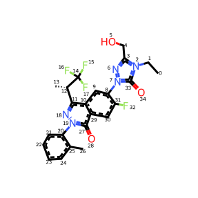 CCn1c(CO)nn(-c2cc3c([C@H](C)C(F)(F)F)nn(-c4ccccc4C)c(=O)c3cc2F)c1=O